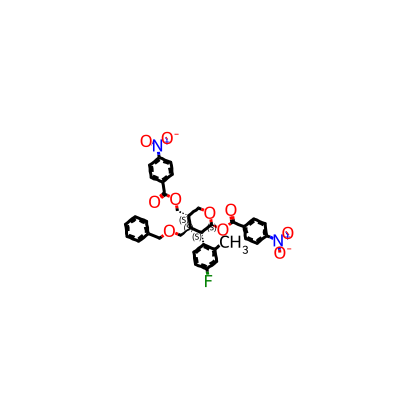 Cc1cc(F)ccc1[C@H]1[C@H](OC(=O)c2ccc([N+](=O)[O-])cc2)OC[C@@H](COC(=O)c2ccc([N+](=O)[O-])cc2)[C@@H]1COCc1ccccc1